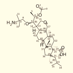 CC(=O)O[C@H](C)[C@H](OCC(C)(C)N)C1(C)COC[C@@]2(C)C3=CC[C@@]4(C)[C@H](C(=O)O)[C@@](C)([C@H](C)C(C)C)CC[C@]4(C)[C@H]3CC[C@@H]12